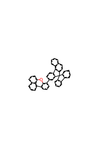 c1ccc2c(c1)-c1ccccc1C21c2cc(-c3cccc4c3Oc3cccc5cccc-4c35)ccc2-c2c1ccc1ccccc21